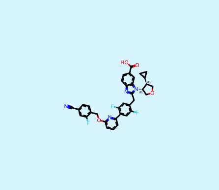 N#Cc1ccc(COc2cccc(-c3cc(F)c(Cc4nc5ccc(C(=O)O)cc5n4[C@H]4COC[C@@H]4C4CC4)cc3F)n2)c(F)c1